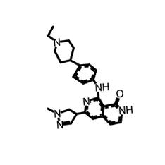 CCN1CCC(c2ccc(Nc3nc(C4C=NN(C)C4)cc4cc[nH]c(=O)c34)cc2)CC1